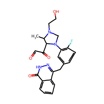 CC1C(C(=O)C=O)N(c2cc(Cc3n[nH]c(=O)c4ccccc34)ccc2F)CN1CCO